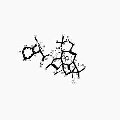 CC1=C[C@]23C(=O)[C@@H](C=C4COC(C)(C)O[C@H]4[C@]2(O)[C@H]1OC(=O)c1nn(C)c2ccccc12)C1[C@@H](C[C@H]3C)C1(C)C